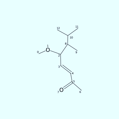 COC(C=CC(C)=O)C(C)C(C)C